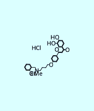 CCN(CCCCOc1ccc(-c2cc(=O)c3ccc(O)c(O)c3o2)cc1)Cc1ccccc1OC.Cl